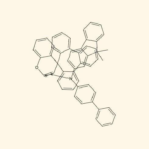 CC1(C)c2ccccc2-c2ccc(N(c3ccc(-c4ccccc4)cc3)c3cccc4c3C3(c5ccccc5O4)c4ccccc4-c4ccccc4-c4ccccc43)cc21